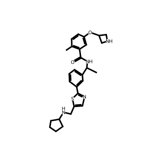 Cc1ccc(OC2CNC2)cc1C(=O)NC(C)c1cccc(-c2ncc(CNC3CCCC3)s2)c1